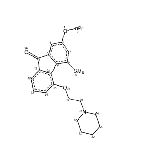 CCCOc1cc(OC)c2c(c1)C(=O)c1cccc(OCCN3CCCCC3)c1-2